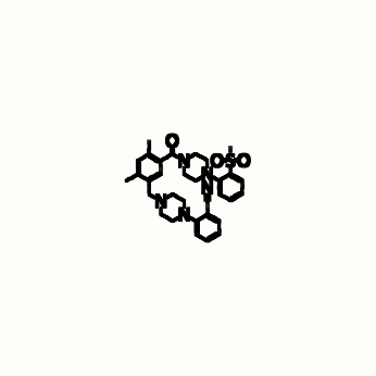 Cc1cc(C)c(C(=O)N2CCN(c3ccccc3S(C)(=O)=O)CC2)cc1CN1CCN(c2ccccc2C#N)CC1